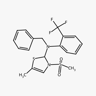 CC1=CN(S(C)(=O)=O)C(N(Cc2ccccc2)c2ccccc2C(F)(F)F)S1